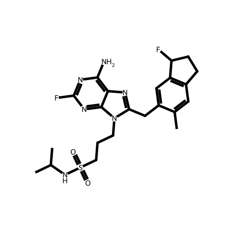 Cc1cc2c(cc1Cc1nc3c(N)nc(F)nc3n1CCCS(=O)(=O)NC(C)C)C(F)CC2